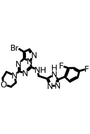 Fc1ccc(-c2nnc(CNc3nc(N4CCOCC4)nc4c(Br)cnn34)[nH]2)c(F)c1